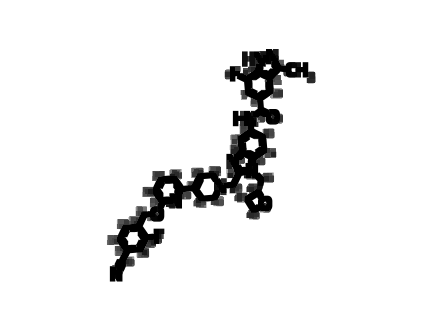 Cc1n[nH]c2c(F)cc(C(=O)Nc3ccc4c(c3)nc(CN3CC=C(c5cccc(OCc6ccc(C#N)cc6F)n5)CC3)n4C[C@@H]3CCO3)cc12